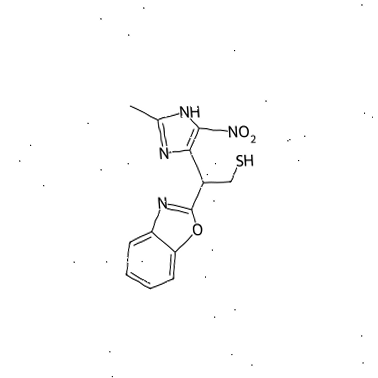 Cc1nc(C(CS)c2nc3ccccc3o2)c([N+](=O)[O-])[nH]1